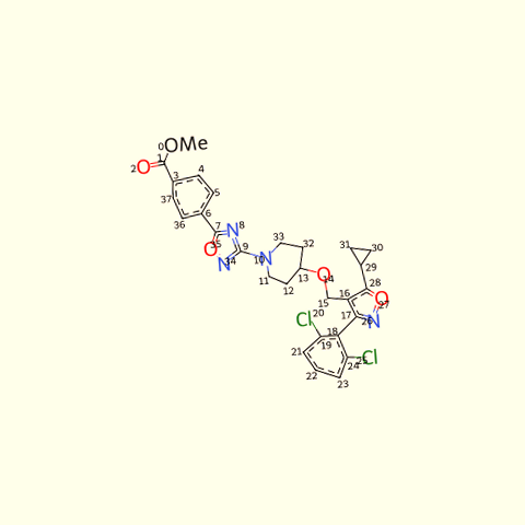 COC(=O)c1ccc(-c2nc(N3CCC(OCc4c(-c5c(Cl)cccc5Cl)noc4C4CC4)CC3)no2)cc1